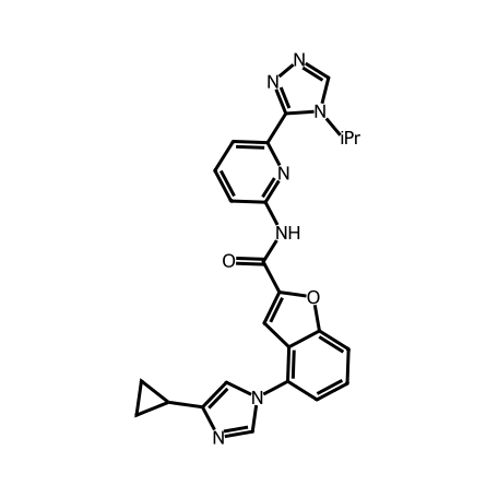 CC(C)n1cnnc1-c1cccc(NC(=O)c2cc3c(-n4cnc(C5CC5)c4)cccc3o2)n1